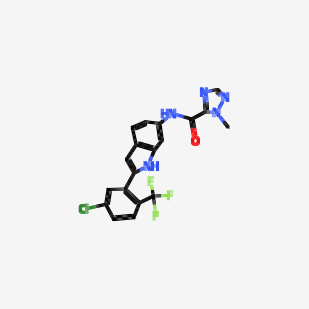 Cn1ncnc1C(=O)Nc1ccc2cc(-c3cc(Cl)ccc3C(F)(F)F)[nH]c2c1